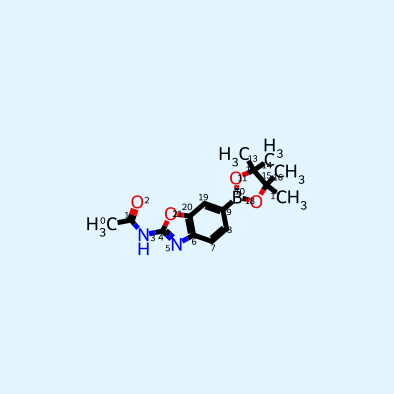 CC(=O)Nc1nc2ccc(B3OC(C)(C)C(C)(C)O3)cc2o1